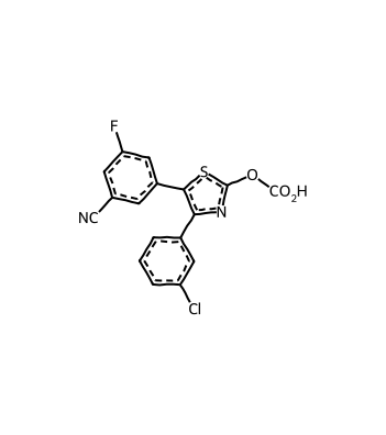 N#Cc1cc(F)cc(-c2sc(OC(=O)O)nc2-c2cccc(Cl)c2)c1